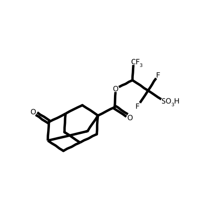 O=C1C2CC3CC1CC(C(=O)OC(C(F)(F)F)C(F)(F)S(=O)(=O)O)(C3)C2